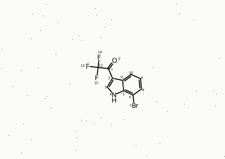 O=C(c1c[nH]c2c(Br)cccc12)C(F)(F)F